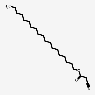 CCCCCCCCCCCCCCCCCCCOC(=O)CC#N